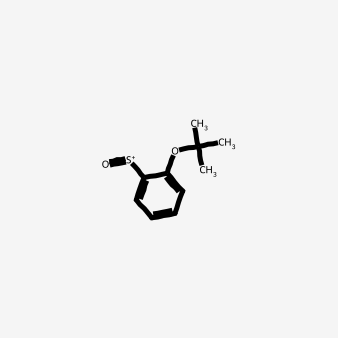 CC(C)(C)Oc1ccccc1[S+]=O